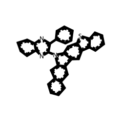 c1ccc(-c2nc3ccccc3nc2-n2c3cc4ccccc4cc3c3cc4c(cc32)sc2ccccc24)cc1